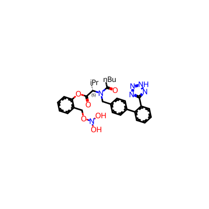 CCCCC(=O)N(Cc1ccc(-c2ccccc2-c2nn[nH]n2)cc1)[C@H](C(=O)Oc1ccccc1CON(O)O)C(C)C